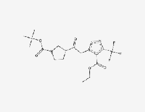 CCOC(=O)c1c(C(F)(F)F)ncn1CC(=O)C1CCN(C(=O)OC(C)(C)C)C1